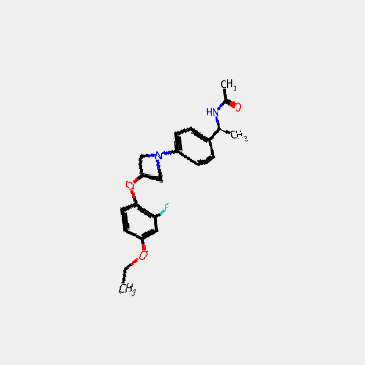 CCOc1ccc(OC2CN(c3ccc([C@H](C)NC(C)=O)cc3)C2)c(F)c1